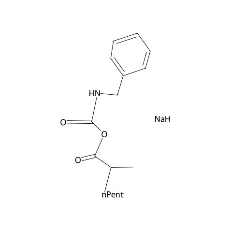 CCCCCC(C)C(=O)OC(=O)NCc1ccccc1.[NaH]